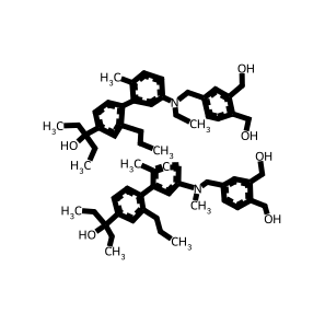 CCCc1cc(C(O)(CC)CC)ccc1-c1cc(N(C)Cc2ccc(CO)c(CO)c2)ccc1C.CCCc1cc(C(O)(CC)CC)ccc1-c1cc(N(CC)Cc2ccc(CO)c(CO)c2)ccc1C